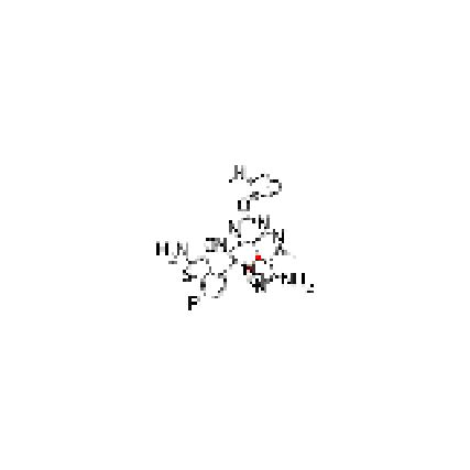 C[C@H](c1cncnc1N)N(C)c1nc(O[C@@H]2COC[C@H]2N(C)C)nc2c(F)c(-c3ccc(F)c4sc(N)c(C#N)c34)c(Cl)cc12